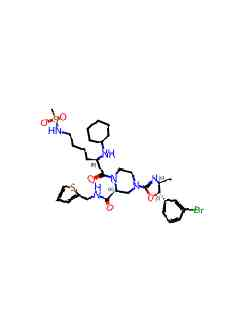 C[C@@H]1N=C(N2CCN(C(=O)[C@@H](CCCCNS(C)(=O)=O)NC3CCCCC3)[C@H](C(=O)NCc3cccs3)C2)O[C@H]1c1cccc(Br)c1